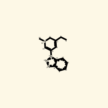 CCC1=CC(n2nnc3ccccc32)=CN(C)C1